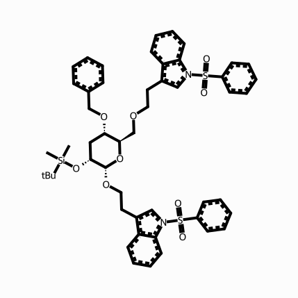 CC(C)(C)[Si](C)(C)O[C@@H]1C[C@H](OCc2ccccc2)[C@@H](COCCc2cn(S(=O)(=O)c3ccccc3)c3ccccc23)O[C@@H]1OCCc1cn(S(=O)(=O)c2ccccc2)c2ccccc12